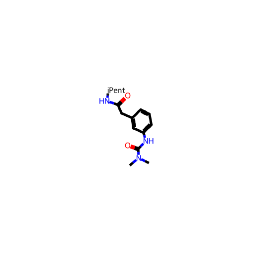 CCCC(C)NC(=O)Cc1cccc(NC(=O)N(C)C)c1